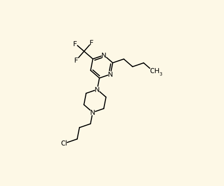 CCCCc1nc(N2CCN(CCCCl)CC2)cc(C(F)(F)F)n1